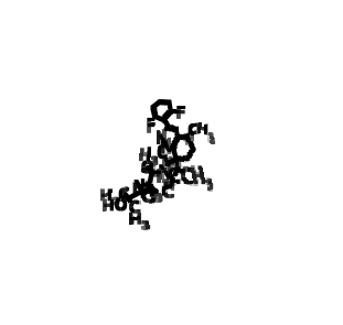 CCN(C(=O)c1coc(C(C)(C)O)n1)[C@@H](C)[C@@]1(C(C)C)CC[C@H](C)c2cc(-c3c(F)cccc3F)nnc21